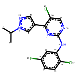 CC(C)n1cc(-c2nc(Nc3cc(F)[c]cc3Cl)ncc2Cl)cn1